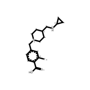 O=C(O)c1ccc(CN2CCC(CNC3CC3)CC2)cc1F